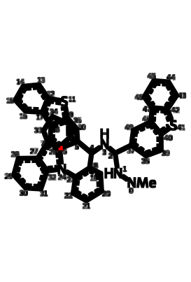 CNNC(NC(c1ccc2c(c1)sc1ccccc12)c1ccccc1-n1c2c(c3ccccc31)CCC=C2)c1ccc2sc3ccccc3c2c1